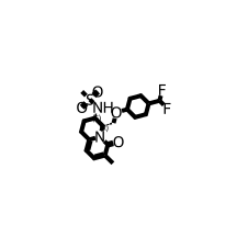 Cc1ccc2n(c1=O)[C@@H](COC1CCC(C(F)F)CC1)[C@@H](NS(C)(=O)=O)CC2